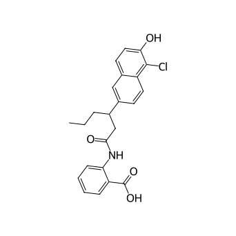 CCCC(CC(=O)Nc1ccccc1C(=O)O)c1ccc2c(Cl)c(O)ccc2c1